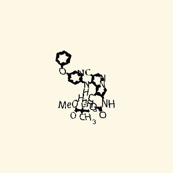 COC(=O)C(C)(C)COC(=O)Nc1cn2ncc(C#N)c(Nc3ccc(Oc4ccccc4)cc3)c2c1C